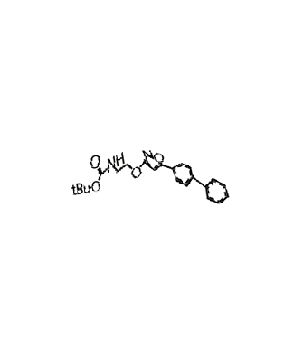 CC(C)(C)OC(=O)NCCOc1cc(-c2ccc(-c3ccccc3)cc2)on1